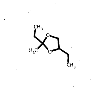 CCC1COC(C)(CC)O1